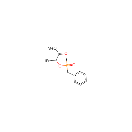 COC(=O)C(OP(C)(=O)Cc1ccccc1)C(C)C